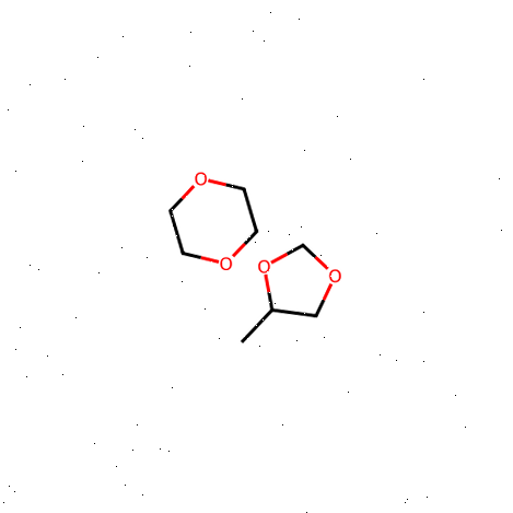 C1COCCO1.CC1COCO1